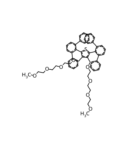 COCCOCCOCCOCc1c(-c2c(-c3ccccc3)cccc2-c2ccccc2)sc(-c2c(-c3ccccc3)cccc2-c2ccccc2)c1COCCOCCOCCOC